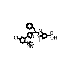 O=C(O)c1ccc2[nH]c(C(Cc3ccccc3)c3ccc(-c4cc(Cl)ccc4-n4cnnn4)cn3)nc2c1